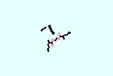 C=C.C=C.C=C.C=C.C=C.C=C.C=C.C=C.C=CCCC(=C)C(=O)OCCOC(=O)C(=C)CCC=C